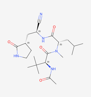 CC(=O)N[C@H](C(=O)N(C)[C@@H](CC(C)C)C(=O)N[C@H](C#N)C[C@@H]1CCNC1=O)C(C)(C)C